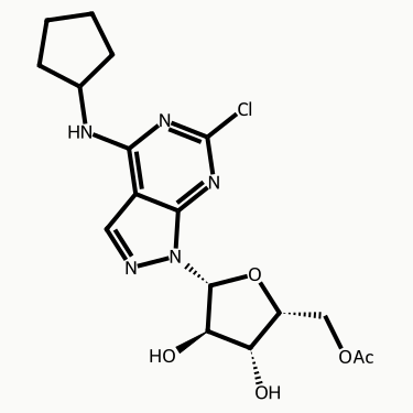 CC(=O)OC[C@H]1O[C@@H](n2ncc3c(NC4CCCC4)nc(Cl)nc32)[C@H](O)[C@H]1O